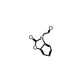 O=CCn1c(=O)oc2ccccc21